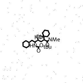 CNC(=O)C(CC(O)C(CC1CCCCC1)NC(=O)OC(C)(C)C)C1(O)CCCCC1